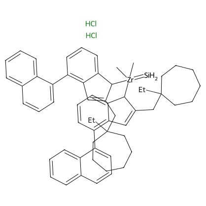 CCC1(CC2=Cc3c(-c4cccc5ccccc45)cccc3[CH]2[Zr]([CH3])([CH3])(=[SiH2])[CH]2C(CC3(CC)CCCCCC3)=Cc3c(-c4cccc5ccccc45)cccc32)CCCCCC1.Cl.Cl